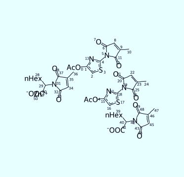 CC(=O)Oc1csc(N2C(=O)C=C(C)C2=O)n1.CC(=O)Oc1csc(N2C(=O)C=C(C)C2=O)n1.CCCCCCC(C(=O)[O-])N1C(=O)C=C(C)C1=O.CCCCCCC(C(=O)[O-])N1C(=O)C=C(C)C1=O.[Zn+2]